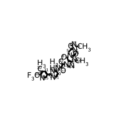 Cc1noc(Cn2c(=O)c3c(ncn3[C@@H](C)C(=O)Nc3ccnc(-c4cnc(C(F)(F)F)c(C)c4)n3)n(C)c2=O)n1